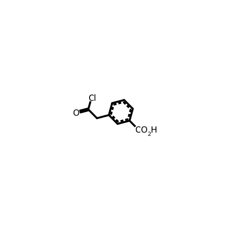 O=C(Cl)Cc1cccc(C(=O)O)c1